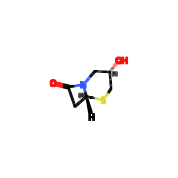 O=C1C[C@H]2SC[C@@H](O)CN12